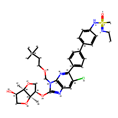 CCN=S(C)(=O)Nc1ccc(-c2ccc(-c3nc4c(cc3Cl)nc(O[C@@H]3CO[C@H]5[C@@H]3OC[C@H]5O)n4COCC[Si](C)(C)C)cc2)cc1